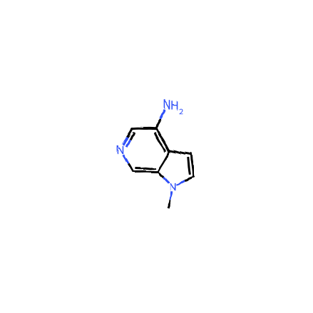 Cn1ccc2c(N)cncc21